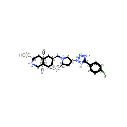 O=C(O)[C@@H]1C[C@H]2C[C@@H](CN3C[C@@H](n4nnc(-c5ccc(Cl)cc5)n4)C[C@H]3C(=O)O)CC[C@H]2CN1